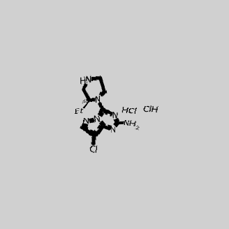 CC[C@H]1CNCCN1c1nc(N)nc2c(Cl)cnn12.Cl.Cl